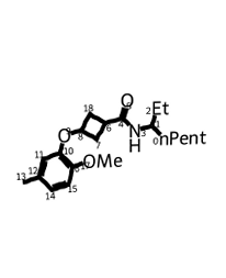 CCCCCC(CC)NC(=O)C1CC(Oc2cc(C)ccc2OC)C1